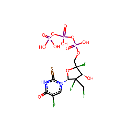 O=c1[nH]c(=S)n([C@@H]2O[C@](F)(COP(=O)(O)OP(=O)(O)OP(=O)(O)O)[C@H](O)C2(F)CF)cc1F